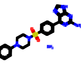 N.Nc1nc(-c2ccc(S(=O)(=O)N3CCN(c4ccccc4)CC3)cc2)c2nc[nH]c2n1